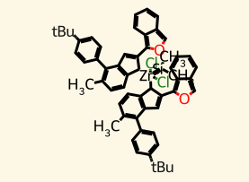 Cc1ccc2c(c1-c1ccc(C(C)(C)C)cc1)C=C(c1occ3ccccc13)[CH]2[Zr]([Cl])([Cl])([CH]1C(c2occ3ccccc23)=Cc2c1ccc(C)c2-c1ccc(C(C)(C)C)cc1)=[Si](C)C